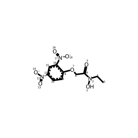 CCN(O)C(=O)COc1ccc([N+](=O)[O-])cc1[N+](=O)[O-]